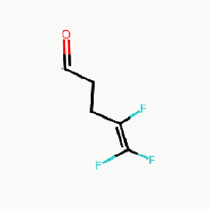 O=[C]CCC(F)=C(F)F